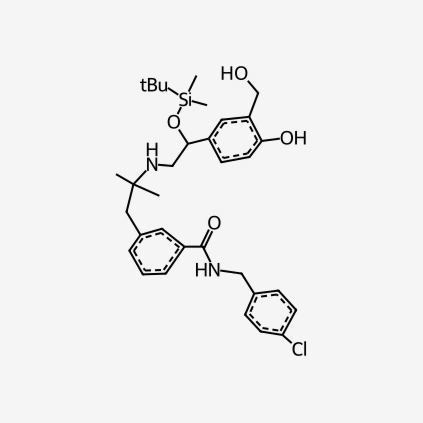 CC(C)(Cc1cccc(C(=O)NCc2ccc(Cl)cc2)c1)NCC(O[Si](C)(C)C(C)(C)C)c1ccc(O)c(CO)c1